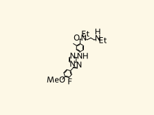 CCNCCCN(CC)C(=O)c1ccc(Nc2nccn3c(-c4ccc(OC)c(F)c4)cnc23)cc1C